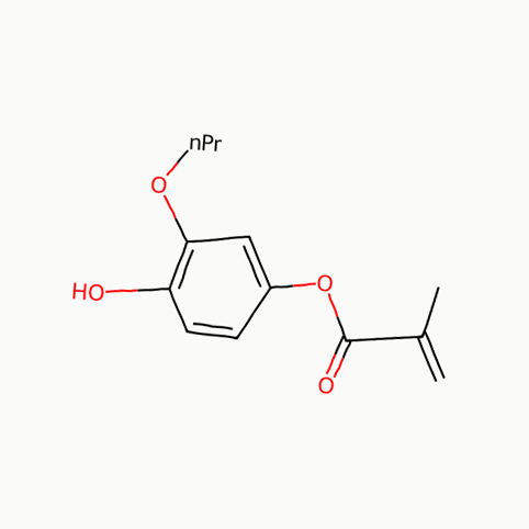 C=C(C)C(=O)Oc1ccc(O)c(OCCC)c1